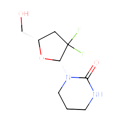 O=C1NCCCN1[C@@H]1O[C@H](CO)CC1(F)F